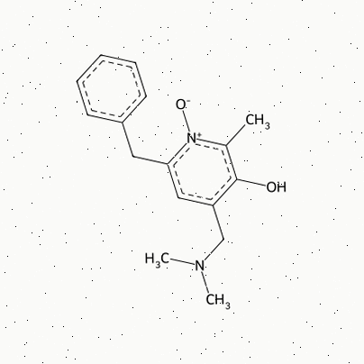 Cc1c(O)c(CN(C)C)cc(Cc2ccccc2)[n+]1[O-]